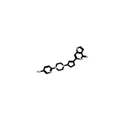 N#Cc1ccc(N2CCN(C3C=C(c4cc5sccc5c(=O)[nH]4)CC3)CC2)nc1